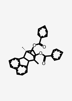 CC12CC[C@@](C)(C(OC(=O)c3ccccc3)C1OC(=O)c1ccccc1)C1c3cccc4cccc(c34)C12